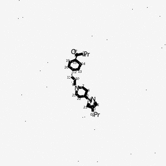 CC(C)c1cnn(C2CCN(CCC[C@H]3CC[C@H](C(=O)C(C)C)CC3)CC2)c1